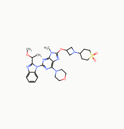 COC(C)c1nc2ccccc2n1-c1nc(N2CCOCC2)c2nc(OC3CN(C4CCS(=O)(=O)CC4)C3)n(C)c2n1